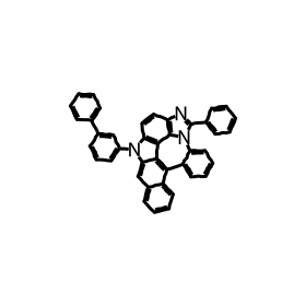 c1ccc(-c2cccc(-n3c4cc5ccccc5c5c6ccccc6n6c(-c7ccccc7)nc7ccc3c(c54)c76)c2)cc1